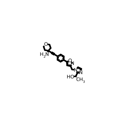 C[C@H](O)c1nccn1Cc1cc(-c2ccc(C#CC3(N)CCOCC3)cc2)on1